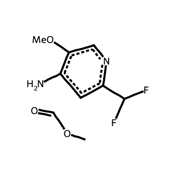 COC=O.COc1cnc(C(F)F)cc1N